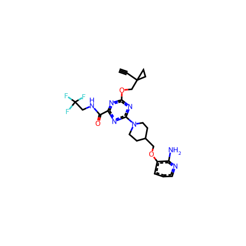 C#CC1(COc2nc(C(=O)NCC(F)(F)F)nc(N3CCC(COc4cccnc4N)CC3)n2)CC1